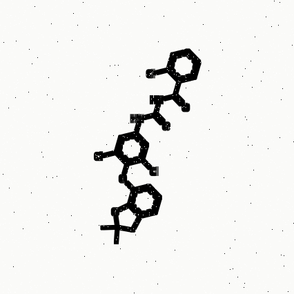 CC1(C)Cc2cccc(Oc3c(Cl)cc(NC(=O)NC(=O)c4ccccc4Cl)cc3Cl)c2O1